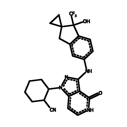 N#CC1CCCCC1n1nc(Nc2ccc3c(c2)CC2(CC2)C3(O)C(F)(F)F)c2c(=O)[nH]ccc21